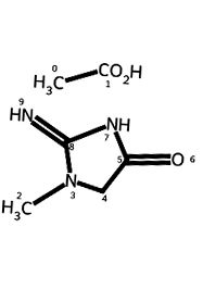 CC(=O)O.CN1CC(=O)NC1=N